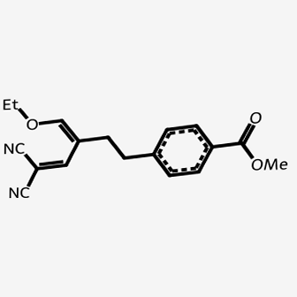 CCO/C=C(\C=C(C#N)C#N)CCc1ccc(C(=O)OC)cc1